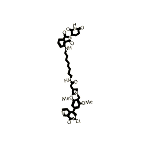 CCn1cc(-c2cc(OC)c(CN3CC(CC(=O)NCCCCCCCCNc4cccc5c4C(=O)N(C4CCC(=O)NC4=O)C5=O)C3)c(OC)c2)c2ccncc2c1=O